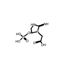 N=C1NCCN1CC(=O)O.O=P(O)(O)O